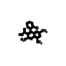 Cc1cc(C)c2nc(C)c(C(=O)O)c(-c3ccccc3Cl)c2c1